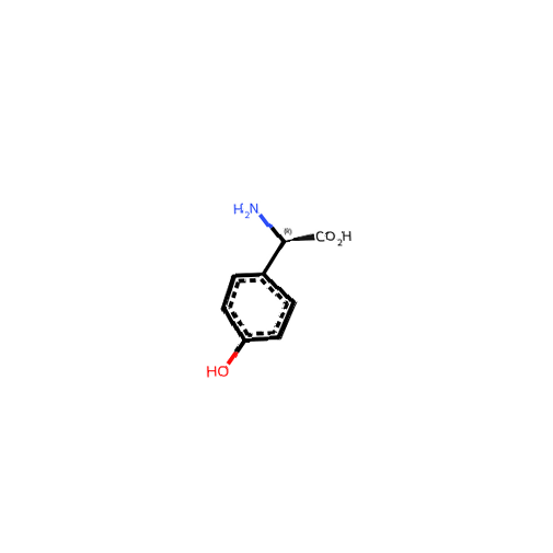 N[C@@H](C(=O)O)c1ccc(O)cc1